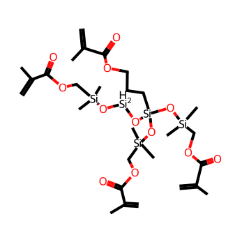 C=C(C)C(=O)OCCC[Si](O[SiH2]O[Si](C)(C)COC(=O)C(=C)C)(O[Si](C)(C)COC(=O)C(=C)C)O[Si](C)(C)COC(=O)C(=C)C